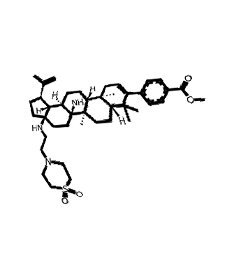 C=C(C)[C@@H]1CCC2(NCCN3CCS(=O)(=O)CC3)CC[C@]3(N)[C@H](CC[C@@H]4[C@@]5(C)CC=C(c6ccc(C(=O)OC)cc6)C(C)(C)[C@@H]5CC[C@]43C)[C@@H]12